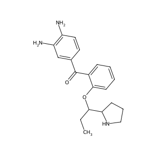 CCC(Oc1ccccc1C(=O)c1ccc(N)c(N)c1)C1CCCN1